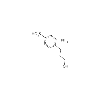 N.O=S(=O)(O)c1ccc(CCCO)cc1